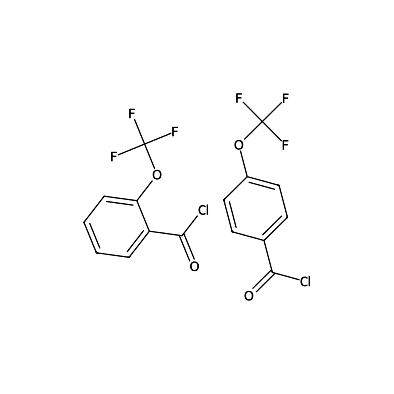 O=C(Cl)c1ccc(OC(F)(F)F)cc1.O=C(Cl)c1ccccc1OC(F)(F)F